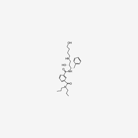 CCCN(CCC)C(=O)c1cccc(C(=O)N[C@@H](Cc2ccccc2)[C@H](O)CNCCCCO)c1